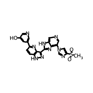 CS(=O)(=O)c1cn(-c2cncc3[nH]c(-c4n[nH]c5ccc(-c6cncc(O)c6)nc45)nc23)cn1